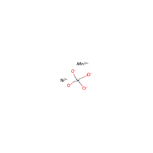 [Mn+2].[Ni+2].[O-][Si]([O-])([O-])[O-]